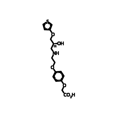 O=C(O)COc1ccc(OCCNC[C@H](O)COc2ccsc2)cc1